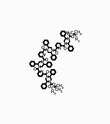 CC(C)(C)OC(=O)N1CC(c2ccccc2)N(C(=O)c2cccc(C(=O)N3CC(c4ccccc4)N(C(=O)c4cccc(C(=O)N5CC(c6ccccc6)N(C(=O)c6cccc(C(=O)N7CC(c8ccccc8)N(C(=O)OC(C)(C)C)CC7c7ccccc7)n6)CC5c5ccccc5)n4)CC3c3ccccc3)n2)CC1c1ccccc1